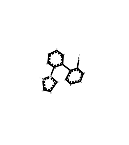 Fc1ccccc1-c1ccccc1-n1cccn1